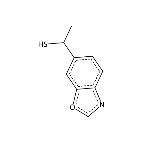 CC(S)c1ccc2ncoc2c1